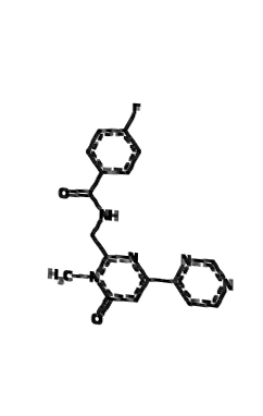 Cn1c(CNC(=O)c2ccc(F)cc2)nc(-c2ccncn2)cc1=O